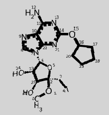 CO[C@]1(CI)O[C@@H](n2cnc3c(N)nc(OC4CCCC4)nc32)[C@H](O)[C@@H]1O